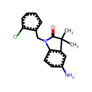 CC1(C)C(=O)N(Cc2ccccc2Cl)c2ccc(N)cc21